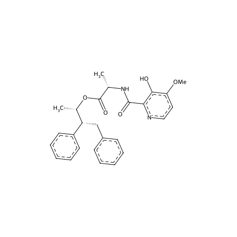 COc1ccnc(C(=O)N[C@@H](C)C(=O)O[C@@H](C)[C@H](Cc2ccccc2)c2ccccc2)c1O